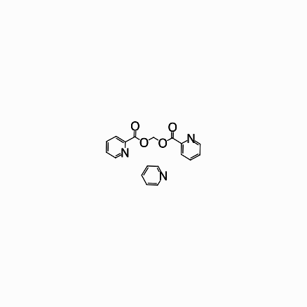 O=C(OCOC(=O)c1ccccn1)c1ccccn1.c1ccncc1